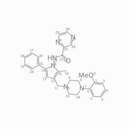 COc1ccccc1N1CCN(Cc2cc(-c3ccccc3)n(NC(=O)c3cnccn3)c2C)CC1